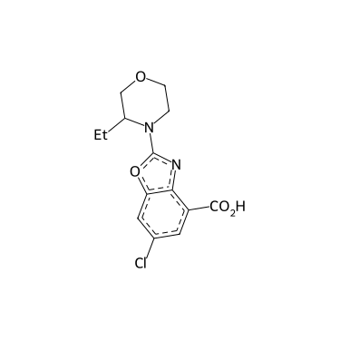 CCC1COCCN1c1nc2c(C(=O)O)cc(Cl)cc2o1